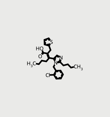 CCCC/C(=C(/Cc1cccs1)C(=O)O)c1cnc(CCCC)n1Cc1ccccc1Cl